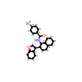 O=C(Nc1c(-c2coc3ccccc23)ccc2ccccc12)c1ccc(Br)cc1